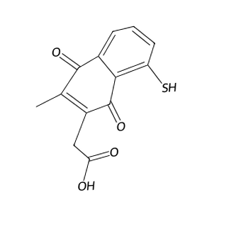 CC1=C(CC(=O)O)C(=O)c2c(S)cccc2C1=O